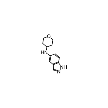 c1cc2[nH]ncc2cc1NC1CCOCC1